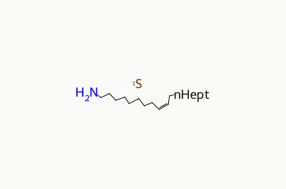 CCCCCCCC/C=C\CCCCCCCCN.[S]